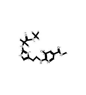 COC(=O)c1cnc(NCCc2csc(SC(C)(C)C(=O)OC(C)(C)C)n2)c(Cl)c1